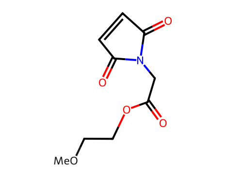 COCCOC(=O)CN1C(=O)C=CC1=O